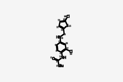 CC(C)(C)C(=O)Nc1ccc(NCc2ccc(Cl)s2)cc1Cl